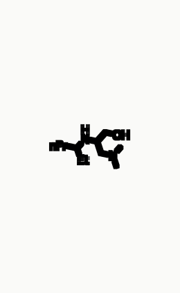 CCCC(CC)NC(CO)CN(C)C